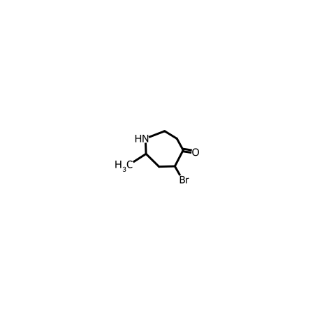 CC1CC(Br)C(=O)CCN1